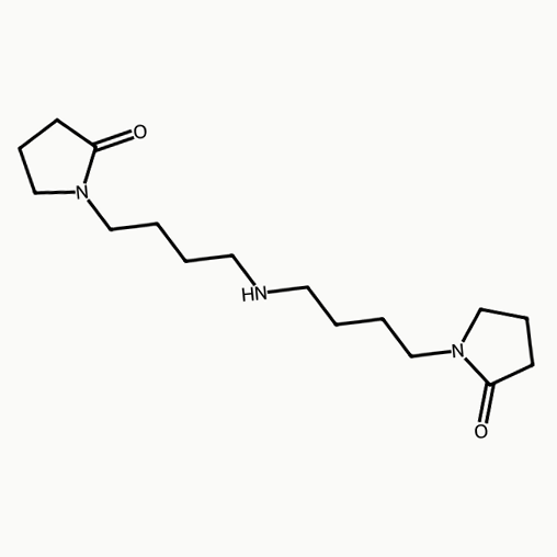 O=C1CCCN1CCCCNCCCCN1CCCC1=O